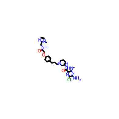 CNc1nc(N)c(Cl)nc1C(=O)NC1CCCN(CCCc2ccc(OCC(=O)NCc3nccn3C)cc2)C1